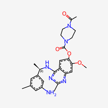 COc1cc2nc(C)nc(N[C@H](C)c3cc(C)cc(N)c3)c2cc1OC(=O)N1CCN(C(C)=O)CC1